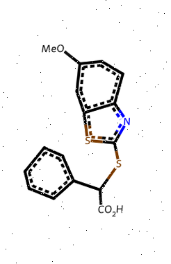 COc1ccc2nc(SC(C(=O)O)c3ccccc3)sc2c1